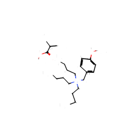 CCCC[N+](CCCC)(CCCC)Cc1ccc(OC)cc1.COC(=O)C(C)C